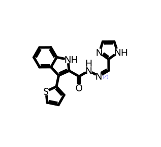 O=C(N/N=C\c1ncc[nH]1)c1[nH]c2ccccc2c1-c1cccs1